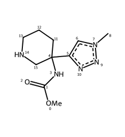 COC(=O)NC1(c2cn(C)nn2)CCCNC1